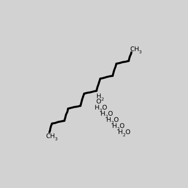 CCCCCCCCCCCC.O.O.O.O.O.O